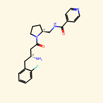 N[C@@H](CC(=O)N1CCC[C@H]1CNC(=O)c1ccncc1)Cc1ccccc1F